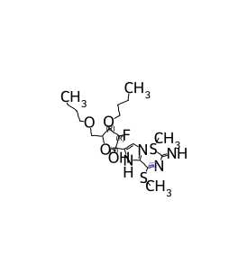 CCCCOCC1O[C@@](O)(c2cnc(/C(=N\C(=N)SC)SC)[nH]2)[C@H](F)[C@@H]1OCCCC